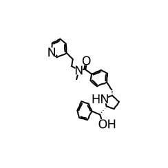 CN(CCc1cccnc1)C(=O)c1ccc(C[C@@H]2CC[C@H](C(O)c3ccccc3)N2)cc1